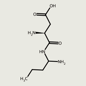 CCCC(N)NC(=O)[C@@H](N)CC(=O)O